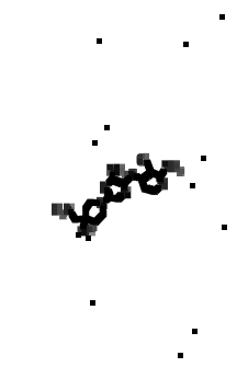 CCCC1(CN)CCN(c2cnc(Sc3ccnc(N)c3Cl)c(N)n2)CC1